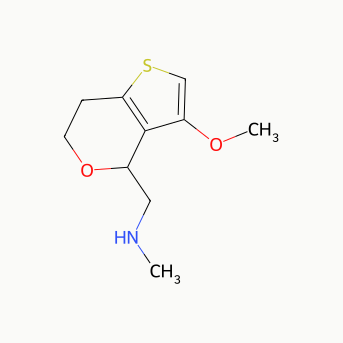 CNCC1OCCc2scc(OC)c21